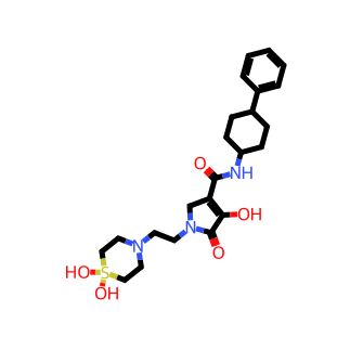 O=C(NC1CCC(c2ccccc2)CC1)C1=C(O)C(=O)N(CCN2CCS(O)(O)CC2)C1